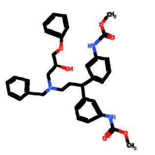 COC(=O)Nc1cccc(C(CCN(Cc2ccccc2)C[C@H](O)COc2ccccc2)c2cccc(NC(=O)OC)c2)c1